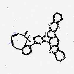 C=C1/C=C\C=C/Cc2cccc(-c3ccc4c(c3)c3c5sc6ccccc6c5cc5c6nc7ccccc7nc6n4c53)c2C1(C)C